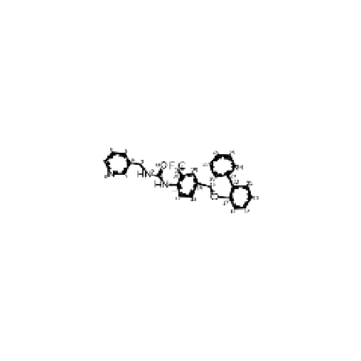 O=C(NCc1cccnc1)Nc1ccc(COc2ccccc2-c2ccccc2)cc1C(F)(F)F